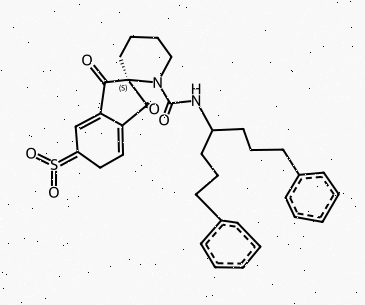 O=C(NC(CCCc1ccccc1)CCCc1ccccc1)N1CCCC[C@@]12C(=O)C1=CCC(=S(=O)=O)C=C1C2=O